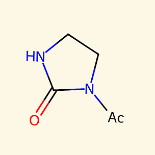 [CH2]C(=O)N1CCNC1=O